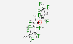 CC(F)(F)C(F)C(F)(F)C(C)(F)OC(F)(F)CC(F)(F)F